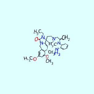 C=C(CN1CCC2(CC1)C1=C[C@H](C)c3c(cc(OC)cc3OC)CN1C(=O)N2CC)N(C)c1ccccc1N